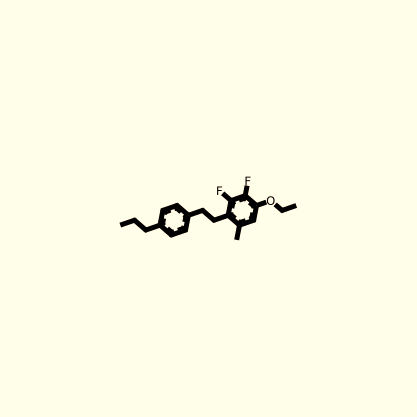 CCCc1ccc(CCc2c(C)cc(OCC)c(F)c2F)cc1